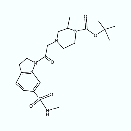 CNS(=O)(=O)c1ccc2c(c1)N(C(=O)CN1CCN(C(=O)OC(C)(C)C)C(C)C1)CC2